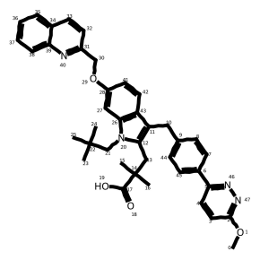 COc1ccc(-c2ccc(Cc3c(CC(C)(C)C(=O)O)n(CC(C)(C)C)c4cc(OCc5ccc6ccccc6n5)ccc34)cc2)nn1